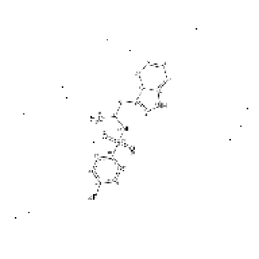 CC(CC1=CNC2=CC=CCC12)NS(=O)(=O)c1ccc(F)cc1